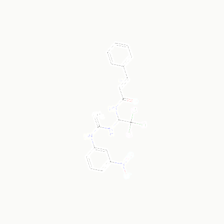 C=C(Nc1cccc([N+](=O)[O-])c1)NC(NC(=O)/C=C/c1ccccc1)C(Cl)(Cl)Cl